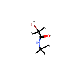 CC(C)(C)NC(=O)C(C)(C)Br